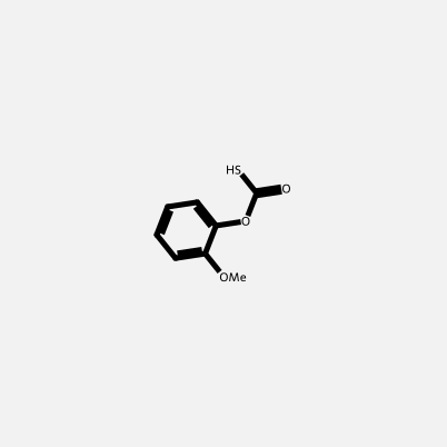 COc1ccccc1OC(=O)S